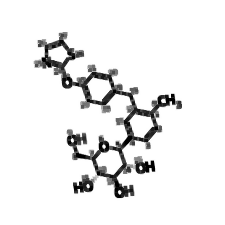 Cc1ccc([C@@H]2O[C@H](CO)[C@@H](O)[C@H](O)[C@H]2O)cc1Cc1ccc(Oc2nccs2)cc1